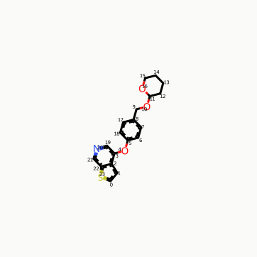 c1cc2c(Oc3ccc(COC4CCCCO4)cc3)cncc2s1